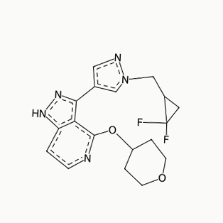 FC1(F)CC1Cn1cc(-c2n[nH]c3ccnc(OC4CCOCC4)c23)cn1